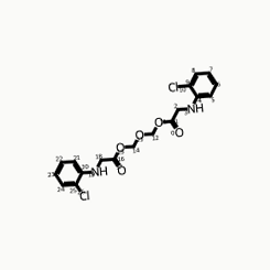 O=C(CNc1ccccc1Cl)OCOCOC(=O)CNc1ccccc1Cl